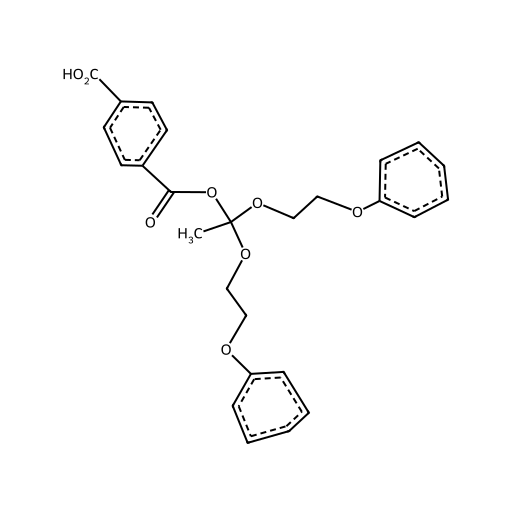 CC(OCCOc1ccccc1)(OCCOc1ccccc1)OC(=O)c1ccc(C(=O)O)cc1